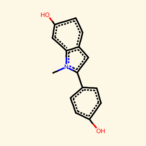 Cn1c(-c2ccc(O)cc2)cc2ccc(O)cc21